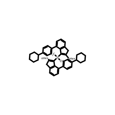 CCCCCCC1=C([Si](C)(C)C2=C(CCCCCC)[CH]c3cccc(-c4ccc(C5CCCCC5)cc4)c32)c2c(cccc2-c2ccc(C3CCCCC3)cc2)[CH]1